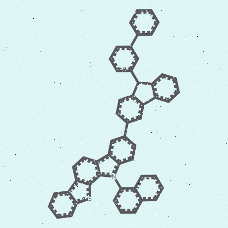 c1ccc(-c2cccc(C3c4ccccc4-c4cc(-c5ccc6c(c5)c5ccc7c8ccccc8sc7c5n6-c5cccc6ccccc56)ccc43)c2)cc1